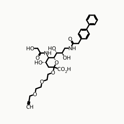 C#CCOCCOCCOC1(C(=O)O)C[C@H](O)[C@@H](NC(=O)CO)[C@H]([C@H](O)[C@H](O)CNC(=O)Cc2ccc(-c3ccccc3)cc2)O1